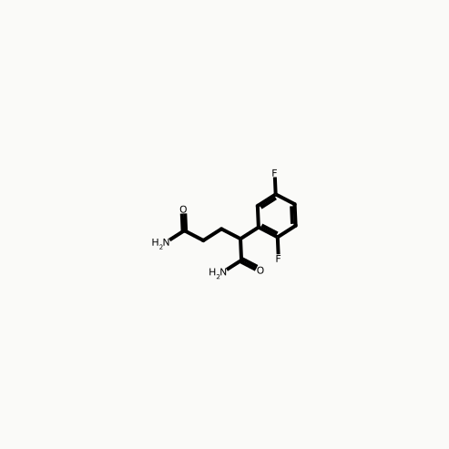 NC(=O)CCC(C(N)=O)c1cc(F)ccc1F